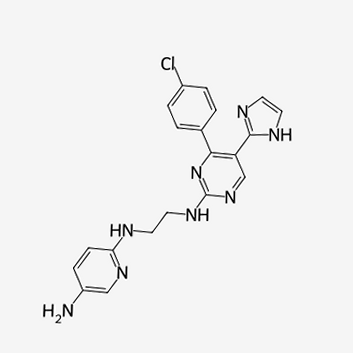 Nc1ccc(NCCNc2ncc(-c3ncc[nH]3)c(-c3ccc(Cl)cc3)n2)nc1